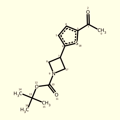 CC(=O)c1ccc(C2CN(C(=O)OC(C)(C)C)C2)s1